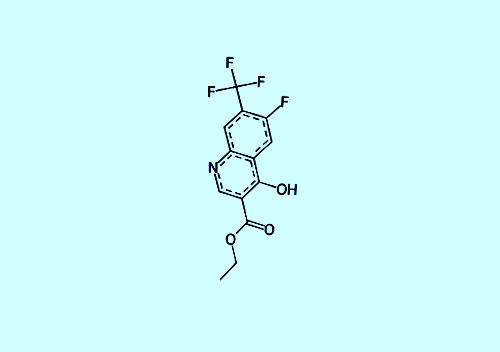 CCOC(=O)c1cnc2cc(C(F)(F)F)c(F)cc2c1O